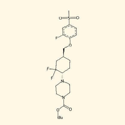 CC(C)(C)OC(=O)N1CCN([C@H]2CC[C@H](COc3ccc(S(C)(=O)=O)cc3F)CC2(F)F)CC1